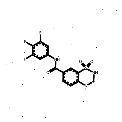 O=C(Nc1cc(F)c(F)c(F)c1)c1ccc2c(c1)S(=O)(=O)NCN2